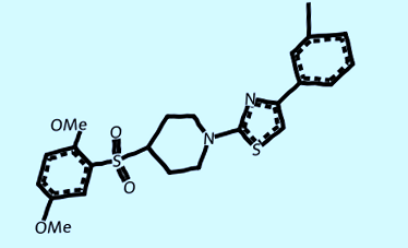 COc1ccc(OC)c(S(=O)(=O)C2CCN(c3nc(-c4cccc(C)c4)cs3)CC2)c1